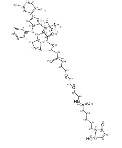 CC(C)(C)[C@H](c1cc(-c2cc(F)ccc2F)cn1Cc1ccccc1)N(CC1CCNC1)C(=O)CSCCC(=O)NCCOCCOCCNC(=O)CCCCCN1C(=O)C=CC1O